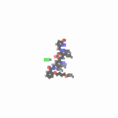 COCCCCOc1ccccc1C(=O)NC[C@H](CC(N)C(O)CC(C(=O)NCC1CCC(=O)N1)C(C)C)C(C)C.Cl